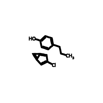 CCCc1ccc(O)cc1.Clc1cc2cc-2c1